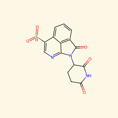 O=C1CCC(N2C(=O)c3cccc4c([SH](=O)=O)cnc2c34)C(=O)N1